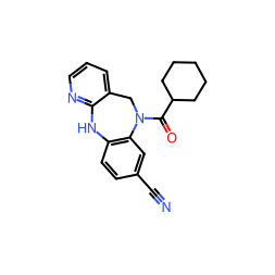 N#Cc1ccc2c(c1)N(C(=O)C1CCCCC1)Cc1cccnc1N2